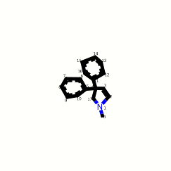 CN1C=CC(c2ccccc2)(c2ccccc2)C1